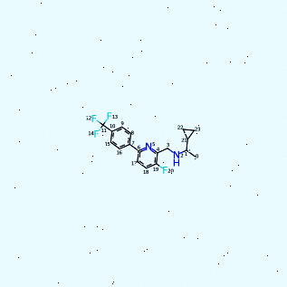 [CH2][C](NCc1nc(-c2ccc(C(F)(F)F)cc2)ccc1F)C1CC1